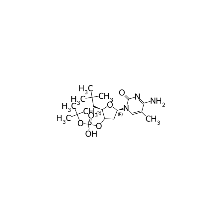 Cc1cn([C@H]2CC(OP(=O)(O)OC(C)(C)C)[C@@H](CC(C)(C)C)O2)c(=O)nc1N